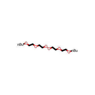 CCCCOCCOCCOOCCOCCOCCCC